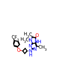 Cc1nc(N[C@H]2C[C@H](Oc3ccc(C(F)(F)F)cc3)C2)nc2c1NC(=O)[C@H](C)N2C